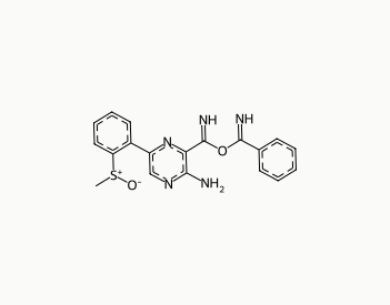 C[S+]([O-])c1ccccc1-c1cnc(N)c(C(=N)OC(=N)c2ccccc2)n1